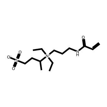 C=CC(=O)NCCC[N+](CC)(CC)C(C)CCS(=O)(=O)[O-]